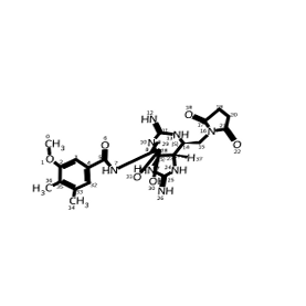 COc1cc(C(=O)NC2CN3C(=N)N[C@@H](CN4C(=O)CCC4=O)[C@@H]4NC(=N)N[C@@]43C2(O)O)cc(C)c1C